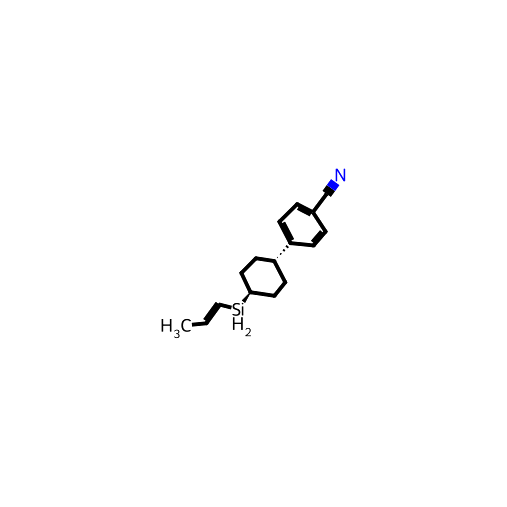 CC=C[SiH2][C@H]1CC[C@H](c2ccc(C#N)cc2)CC1